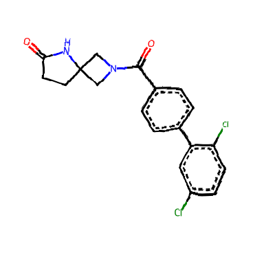 O=C1CCC2(CN(C(=O)c3ccc(-c4cc(Cl)ccc4Cl)cc3)C2)N1